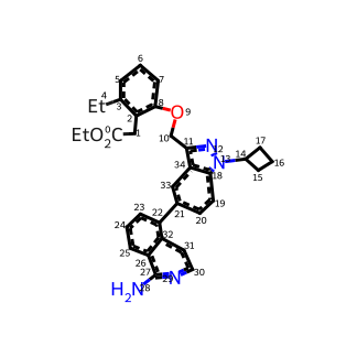 CCOC(=O)Cc1c(CC)cccc1OCc1nn(C2CCC2)c2ccc(-c3cccc4c(N)nccc34)cc12